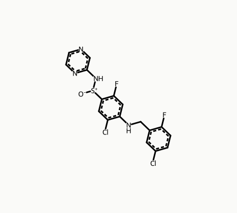 [O-][S+](Nc1cnccn1)c1cc(Cl)c(NCc2cc(Cl)ccc2F)cc1F